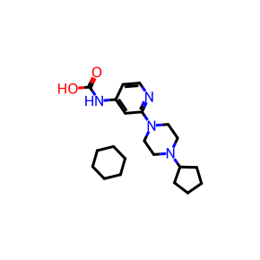 C1CCCCC1.O=C(O)Nc1ccnc(N2CCN(C3CCCC3)CC2)c1